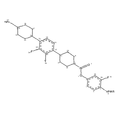 CCCCCc1ccc(OC(=O)C2CCC(c3ccc(C4CCC(CCC)CC4)c(F)c3F)CC2)cc1F